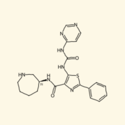 O=C(Nc1ccncn1)Nc1sc(-c2ccccc2)nc1C(=O)N[C@H]1CCCCNC1